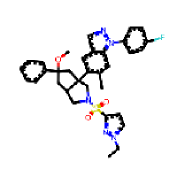 CCn1ccc(S(=O)(=O)N2CC3CC(OC)(c4ccccc4)CC3(c3cc4cnn(-c5ccc(F)cc5)c4cc3C)C2)n1